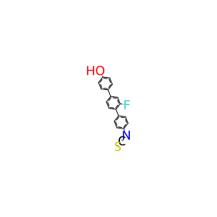 Oc1ccc(-c2ccc(-c3ccc(N=C=S)cc3)c(F)c2)cc1